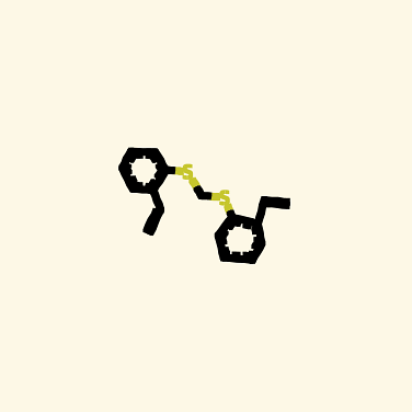 C=Cc1ccccc1SCSc1ccccc1C=C